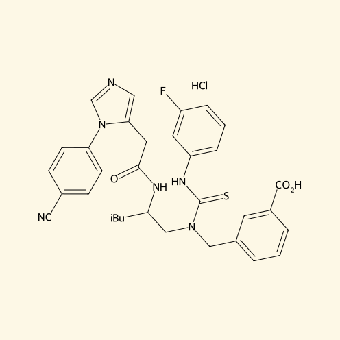 CCC(C)C(CN(Cc1cccc(C(=O)O)c1)C(=S)Nc1cccc(F)c1)NC(=O)Cc1cncn1-c1ccc(C#N)cc1.Cl